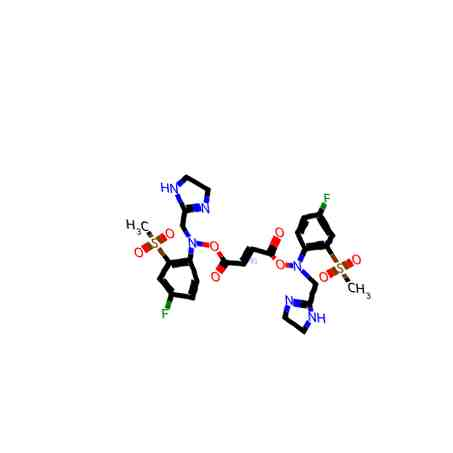 CS(=O)(=O)c1cc(F)ccc1N(CC1=NCCN1)OC(=O)/C=C/C(=O)ON(CC1=NCCN1)c1ccc(F)cc1S(C)(=O)=O